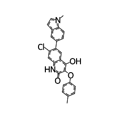 Cc1ccc(Oc2c(O)c3cc(-c4ccc5c(ccn5C)c4)c(Cl)cc3[nH]c2=O)cc1